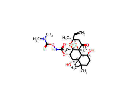 C=C[C@@]1(C)CC(=O)[C@]2(O)[C@@]3(C)[C@@H](O)CCC(C)(C)[C@@H]3[C@H](O)[C@H](OC(=O)NOC(=O)N(C)C)[C@@]2(C)O1